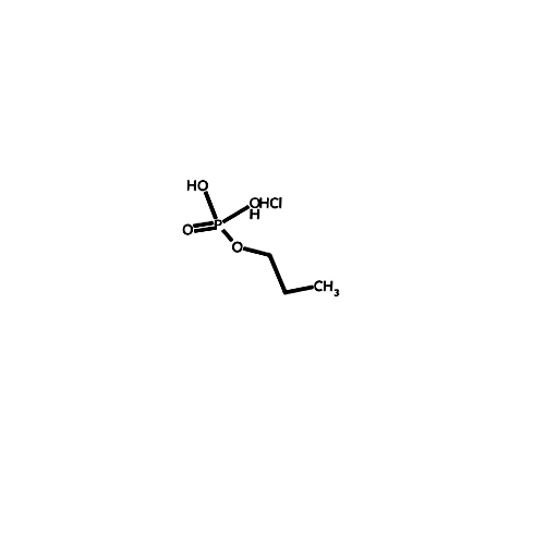 CCCOP(=O)(O)O.Cl